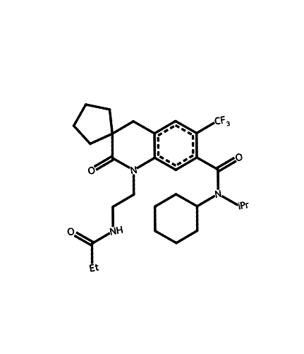 CCC(=O)NCCN1C(=O)C2(CCCC2)Cc2cc(C(F)(F)F)c(C(=O)N(C(C)C)C3CCCCC3)cc21